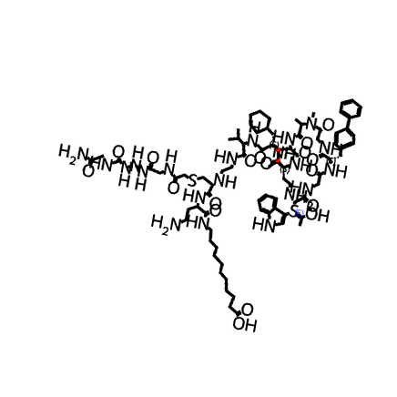 C/C(O)=S(/CC(=O)NCC(=O)N[C@@H](Cc1ccc(-c2ccccc2)cc1)C(=O)NCC(=O)N(C)C(C)C(=O)NC(CC(C)C)C(=O)N[C@@H](CCN)C(=O)N[C@@H](CC1CCCCC1)C(=O)NC(C(=O)NCCNC(CSCC(=O)NCC(=O)NNNC(=O)NCC(N)=O)C(=O)NC(CCN)C(=O)NCCCCCCCCCCC(=O)O)C(C)C)c1c[nH]c2ccccc12